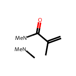 C=C(C)C(=O)NC.CNC